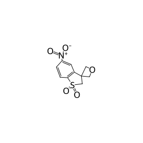 O=[N+]([O-])c1ccc2c(c1)C1(COC1)CS2(=O)=O